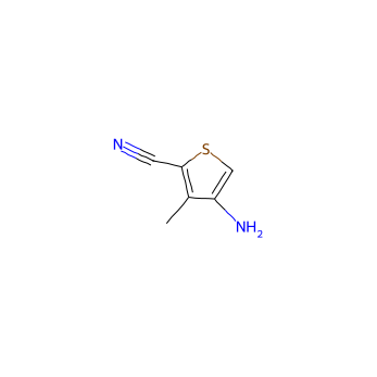 Cc1c(N)csc1C#N